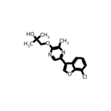 Cc1nc(-c2coc3c(Cl)cccc23)cnc1OCC(C)(C)O